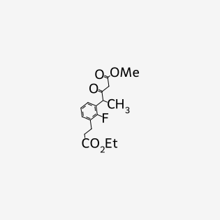 CCOC(=O)CCc1cccc(C(C)C(=O)CC(=O)OC)c1F